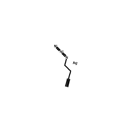 C#CCCN=[N+]=[N-].[Ag]